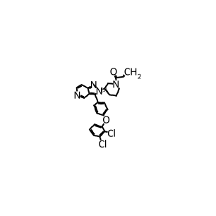 C=CC(=O)N1CCC[C@H](n2nc3ccncc3c2-c2ccc(Oc3cccc(Cl)c3Cl)cc2)C1